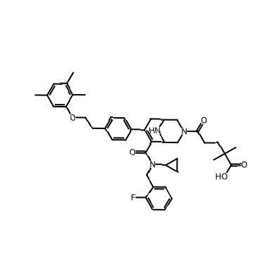 Cc1cc(C)c(C)c(OCCc2ccc(C3=C(C(=O)N(Cc4ccccc4F)C4CC4)C4CN(C(=O)CCC(C)(C)C(=O)O)CC(C3)N4)cc2)c1